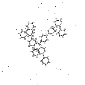 c1ccc(-c2ccc(N(c3ccc(-c4ccc(-c5ccccc5)c(-c5ccccc5)c4)cc3)c3cc(-c4cc5ccccc5c5ccccc45)ccc3-c3ccccc3)cc2)cc1